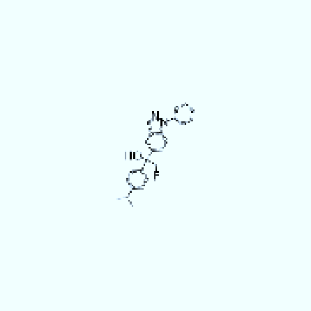 CC(C)c1ccc(C(O)(CF)c2ccc3c(cnn3-c3ccccc3)c2)cc1